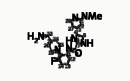 CNc1cc(-c2c[nH]c(C(=O)Nc3cccc(F)c3N3CCC(CN)CC3)n2)ccn1